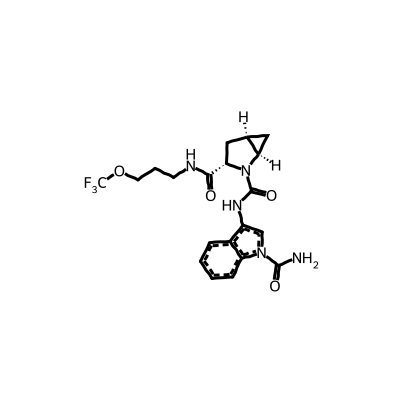 NC(=O)n1cc(NC(=O)N2[C@@H]3C[C@@H]3C[C@H]2C(=O)NCCCOC(F)(F)F)c2ccccc21